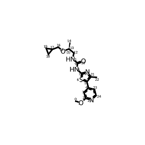 COc1cc(-c2sc(NC(=O)NC[C@H](C)OCC3CC3)nc2C)ccn1